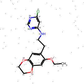 CCOc1cc2c(cc1CCNc1cc(Cl)ncn1)OCCO2